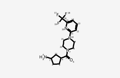 NC1CCC(C(=O)N2CCN(c3cccc(C(F)(F)F)n3)CC2)C1